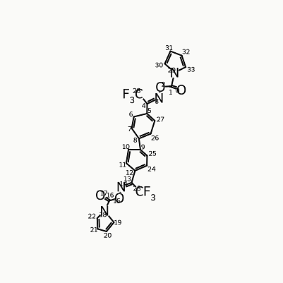 O=C(O/N=C(/c1ccc(-c2ccc(/C(=N/OC(=O)n3cccc3)C(F)(F)F)cc2)cc1)C(F)(F)F)n1cccc1